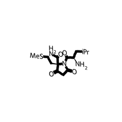 CSCC[C@]1(C(N)=O)C(=O)CC(=O)N1C(=O)[C@@H](N)CC(C)C